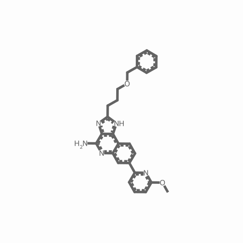 COc1cccc(-c2ccc3c(c2)nc(N)c2nc(CCCOCc4ccccc4)[nH]c23)n1